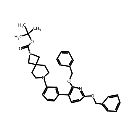 CC(C)(C)OC(=O)N1CC2(CCN(c3cccc(-c4ccc(OCc5ccccc5)nc4OCc4ccccc4)c3)CC2)C1